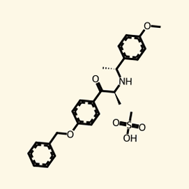 COc1ccc([C@@H](C)N[C@@H](C)C(=O)c2ccc(OCc3ccccc3)cc2)cc1.CS(=O)(=O)O